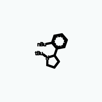 CCCCc1ccccc1C1CCCN1C(C)(C)C